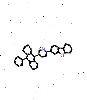 c1ccc(-c2c3ccccc3c(-c3ccc(-c4ccc5c(c4)oc4ccccc45)nc3)c3ccccc23)cc1